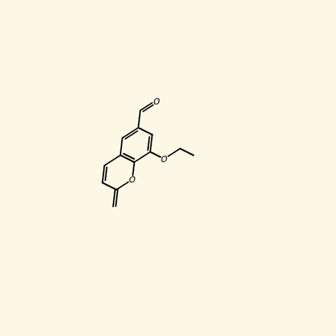 C=C1C=Cc2cc(C=O)cc(OCC)c2O1